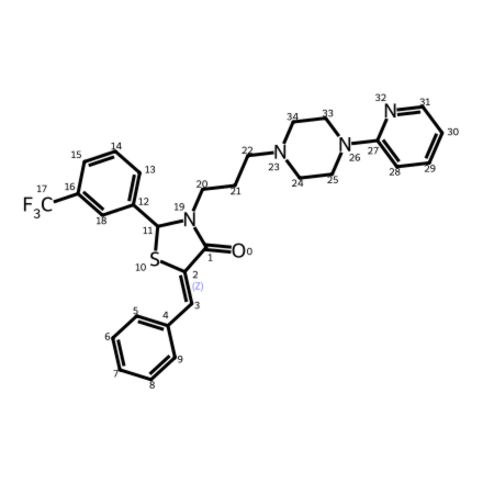 O=C1/C(=C/c2ccccc2)SC(c2cccc(C(F)(F)F)c2)N1CCCN1CCN(c2ccccn2)CC1